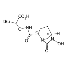 CC(C)(C)C(ONC(=O)[C@@H]1CC[C@@H]2CN1C(=O)N2O)C(=O)O